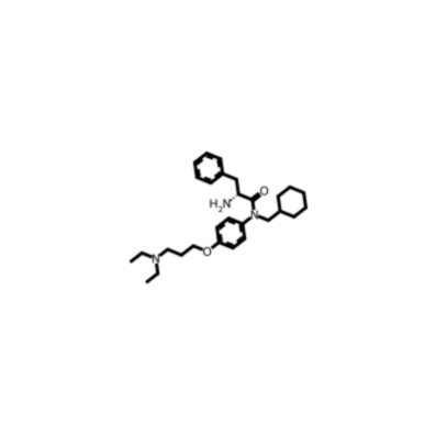 CCN(CC)CCCOc1ccc(N(CC2CCCCC2)C(=O)[C@H](N)Cc2ccccc2)cc1